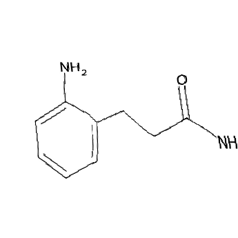 NC(=O)CCc1ccccc1N